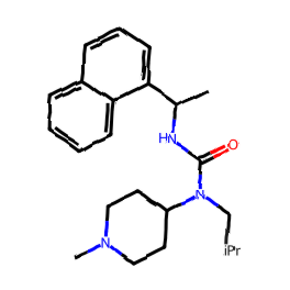 CC(C)CN(C(=O)NC(C)c1cccc2ccccc12)C1CCN(C)CC1